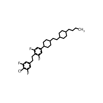 CCCCC1CCC(CCC2CCC(c3cc(F)c(CCc4cc(F)c(Cl)c(F)c4)c(F)c3)CC2)CC1